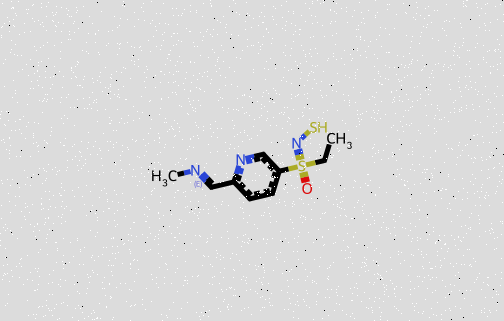 CCS(=O)(=NS)c1ccc(/C=N/C)nc1